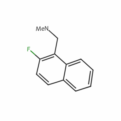 CNCc1c(F)ccc2ccccc12